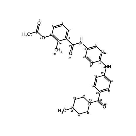 CC(=O)Oc1cccc(C(=O)Nc2cnc(Nc3ccc(C(=O)N4CCN(C)CC4)cc3)nc2)c1C